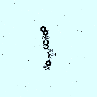 CS(=O)(=O)c1ccc(OCC(O)CNC2COC3(CCN(S(=O)(=O)c4ccc5ccccc5c4)CC3)C2)cc1